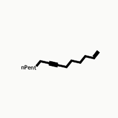 C=CCCCCC#CCCCCCC